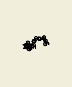 CCOC(=O)C(CC(=O)c1ccc(Oc2ccc(C(=O)COC(=O)CC)cc2)cc1)(NC(C)=O)C(=O)OCC